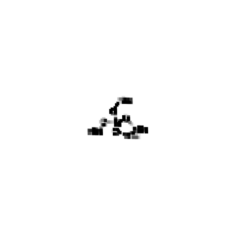 CCCCO[Si](OCCCC)(OCCCC)OCCCC